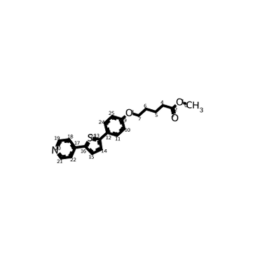 COC(=O)CCCCOc1ccc(-c2ccc(-c3ccncc3)s2)cc1